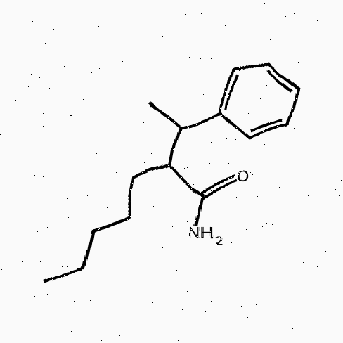 CCCCCC(C(N)=O)C(C)c1ccccc1